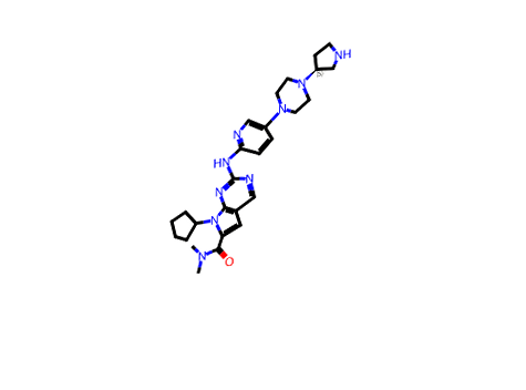 CN(C)C(=O)c1cc2cnc(Nc3ccc(N4CCN([C@H]5CCNC5)CC4)cn3)nc2n1C1CCCC1